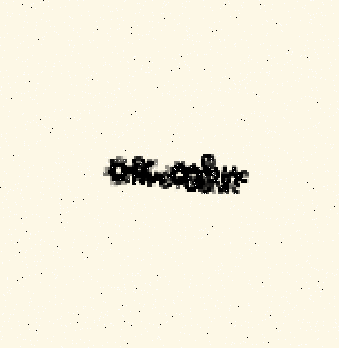 COC(=O)C(=Cc1ccc(OCCc2nc(-c3ccccc3)oc2C)cc1)C(=O)OC